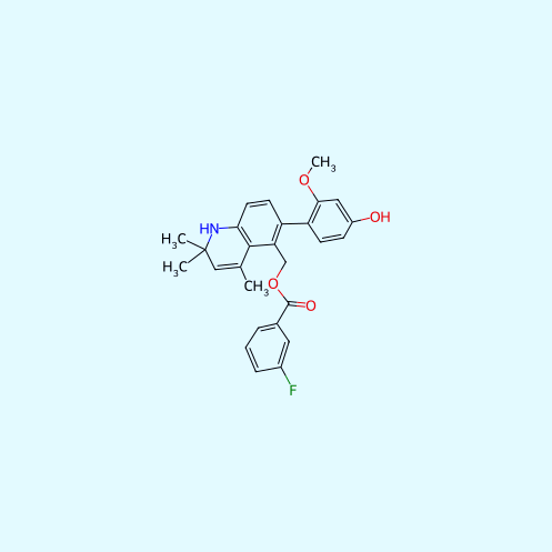 COc1cc(O)ccc1-c1ccc2c(c1COC(=O)c1cccc(F)c1)C(C)=CC(C)(C)N2